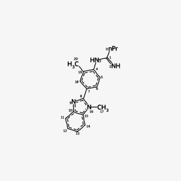 CCCC(=N)Nc1ccc(-c2nc3ccccc3n2C)cc1C